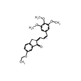 CCOc1ccc2c(c1)C(=O)C(=C/C=C\c1cc(OC)c(OC)c(OC)c1)C2